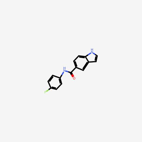 O=C(Nc1ccc(F)cc1)c1ccc2[nH]ccc2c1